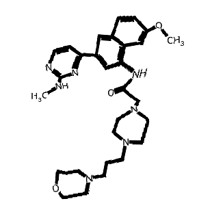 CNc1nccc(-c2cc(NC(=O)CN3CCN(CCCN4CCOCC4)CC3)c3cc(OC)ccc3c2)n1